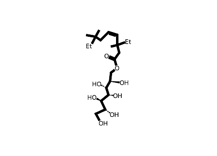 CCC(C)(C)C/C=C\C(C)(CC)CC(=O)OC[C@@H](O)[C@@H](O)[C@H](O)[C@H](O)[C@H](O)CO